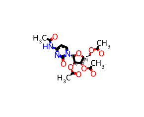 CC(=O)Nc1ccn([C@@H]2O[C@H](COC(C)=O)[C@@H](OC(C)=O)[C@H]2OC(C)=O)c(=O)n1